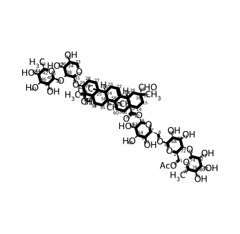 CC(=O)OC[C@H]1O[C@@H](OC[C@H]2O[C@@H](OC(=O)[C@]34CC[C@@](C)(C=O)C[C@H]3C3=CC[C@@H]5[C@@]6(C)CC[C@H](O[C@@H]7OC[C@H](O)[C@H](O)[C@H]7O[C@@H]7O[C@@H](C)[C@H](O)[C@@H](O)[C@H]7O)C(C)(C)[C@@H]6CC[C@@]5(C)[C@]3(C)CC4)[C@H](O)[C@@H](O)[C@@H]2O)[C@H](O)[C@@H](O)[C@@H]1O[C@@H]1O[C@@H](C)[C@H](O)[C@@H](O)[C@H]1O